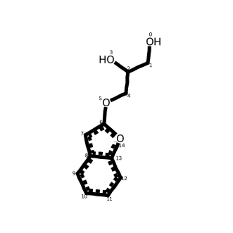 OCC(O)COc1cc2ccccc2o1